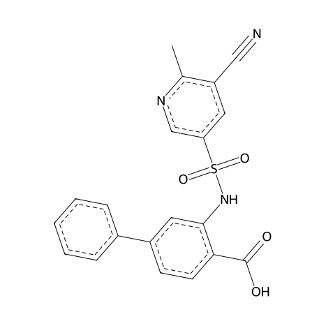 Cc1ncc(S(=O)(=O)Nc2cc(-c3ccccc3)ccc2C(=O)O)cc1C#N